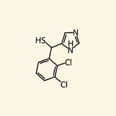 SC(c1cnc[nH]1)c1cccc(Cl)c1Cl